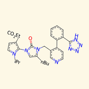 CCCCc1cn(-c2c(C(=O)OCC)ccn2C(C)C)c(=O)n1Cc1cnccc1-c1ccccc1-c1nnn[nH]1